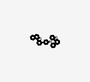 c1ccc(N(c2ccc(-c3cccc4c3sc3ccc5ccccc5c34)cc2)c2cccc3sc4ccccc4c23)cc1